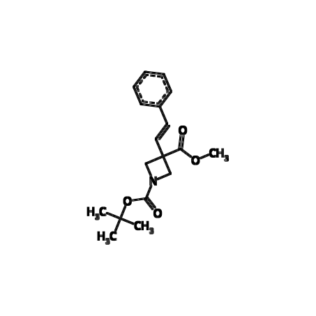 COC(=O)C1(C=Cc2ccccc2)CN(C(=O)OC(C)(C)C)C1